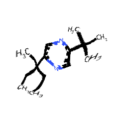 CCC(C)(CC)c1cnc(C(C)(C)C)cn1